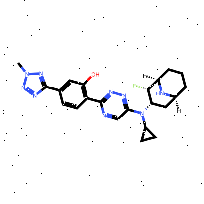 Cn1nnc(-c2ccc(-c3ncc(N(C4CC4)[C@H]4C[C@@H]5CCC[C@@H](N5)[C@H]4F)nn3)c(O)c2)n1